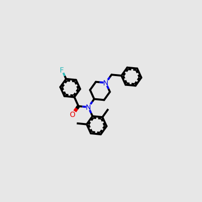 Cc1cccc(C)c1N(C(=O)c1ccc(F)cc1)C1CCN(Cc2ccccc2)CC1